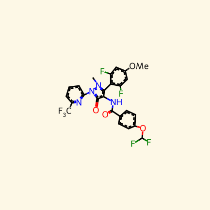 COc1cc(F)c(-c2c(NC(=O)c3ccc(OC(F)F)cc3)c(=O)n(-c3cccc(C(F)(F)F)n3)n2C)c(F)c1